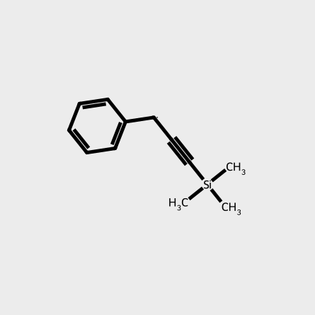 C[Si](C)(C)C#C[CH]c1ccccc1